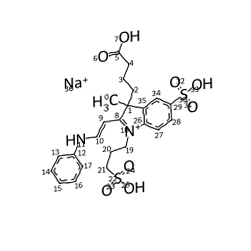 CC1(CCCC(=O)O)C(C=CNc2ccccc2)=[N+](CCCS(=O)(=O)O)c2ccc(S(=O)(=O)O)cc21.[Na+]